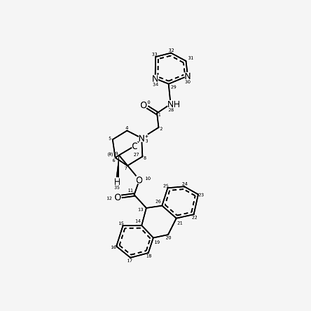 O=C(C[N+]12CCC(CC1)[C@@H](OC(=O)C1c3ccccc3Cc3ccccc31)C2)Nc1ncccn1